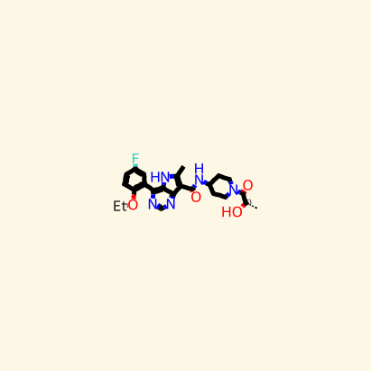 CCOc1ccc(F)cc1-c1ncnc2c(C(=O)NC3CCN(C(=O)[C@H](C)O)CC3)c(C)[nH]c12